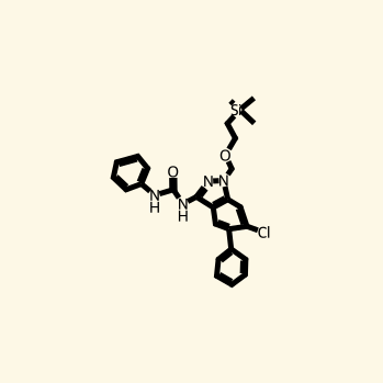 C[Si](C)(C)CCOCn1nc(NC(=O)Nc2ccccc2)c2cc(-c3ccccc3)c(Cl)cc21